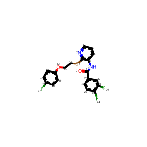 O=C(Nc1cccnc1SCCOc1ccc(F)cc1)c1ccc(F)c(F)c1